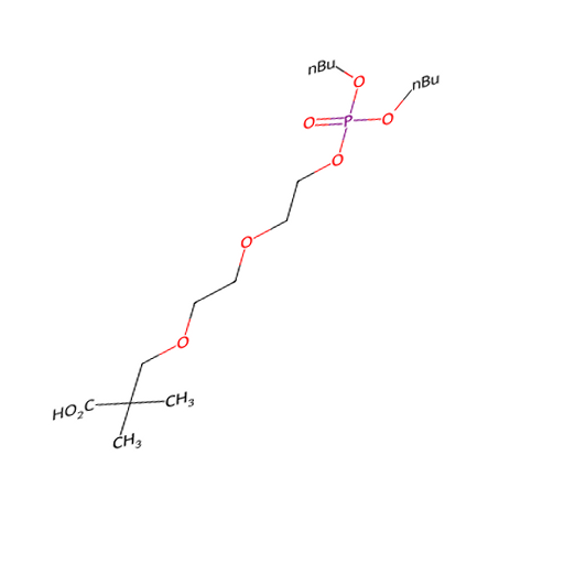 CCCCOP(=O)(OCCCC)OCCOCCOCC(C)(C)C(=O)O